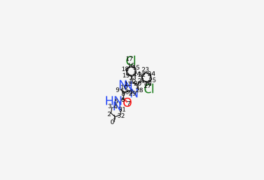 CC1CCN(NC(=O)c2cnn3c(-c4ccc(Cl)cc4)c(-c4ccccc4Cl)cnc23)CC1